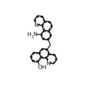 Nc1cc(Cc2cc3cccc(O)c3c3ncccc23)cc2ccc3cccnc3c12